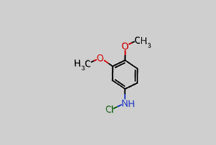 COc1ccc(NCl)cc1OC